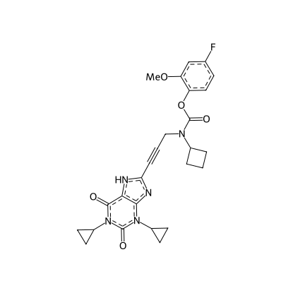 COc1cc(F)ccc1OC(=O)N(CC#Cc1nc2c([nH]1)c(=O)n(C1CC1)c(=O)n2C1CC1)C1CCC1